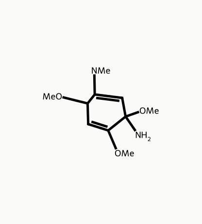 CNC1=CC(N)(OC)C(OC)=CC1OC